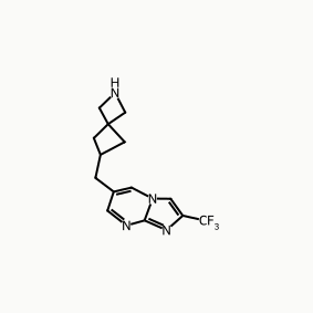 FC(F)(F)c1cn2cc(CC3CC4(CNC4)C3)cnc2n1